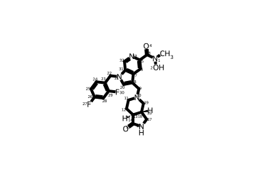 CN(O)C(=O)c1cc2c(CN3CC[C@@H]4C(=O)NC[C@H]4C3)cn(Cc3ccc(F)cc3F)c2cn1